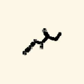 CCC(=O)NN=C=O